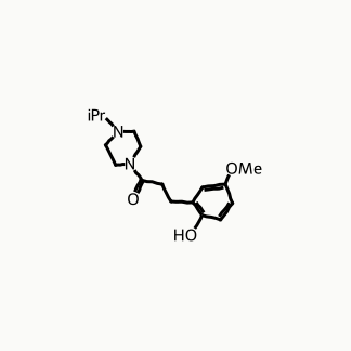 COc1ccc(O)c(CCC(=O)N2CCN(C(C)C)CC2)c1